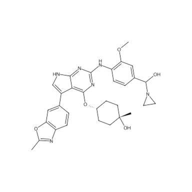 COc1cc(C(O)N2CC2)ccc1Nc1nc(O[C@H]2CC[C@@](C)(O)CC2)c2c(-c3ccc4nc(C)oc4c3)c[nH]c2n1